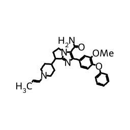 CC=CN1CCC(C2CCn3c2nc(-c2ccc(Oc4ccccc4)c(OC)c2)c3C(N)=O)CC1